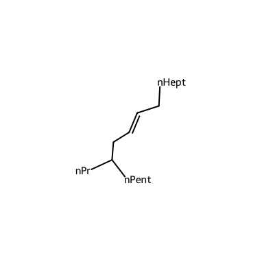 CCCCCCCCC=CCC(CCC)CCCCC